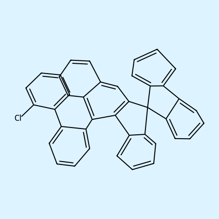 Clc1ccccc1-c1ccccc1-c1c2c(cc3ccccc13)C1(c3ccccc3-c3ccccc31)c1ccccc1-2